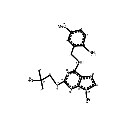 COc1ccc(N)c(CNc2nc(NCC(C)(C)O)nc3c2ncn3C(C)C)c1